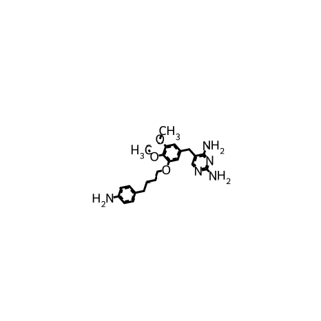 COc1cc(Cc2cnc(N)nc2N)cc(OCCCCc2ccc(N)cc2)c1OC